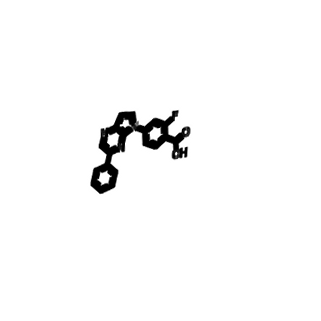 O=C(O)c1ccc(-n2ccc3ncc(-c4ccccc4)nc32)cc1F